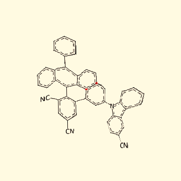 N#Cc1cc(C#N)c(-c2c3ccccc3c(-c3ccccc3)c3ccccc23)c(-c2cccc(-n3c4ccccc4c4cc(C#N)ccc43)c2)c1